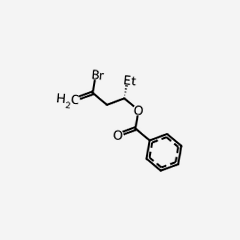 C=C(Br)C[C@H](CC)OC(=O)c1ccccc1